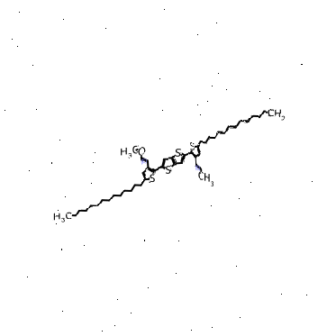 C/C=C/c1cc(CCCCCCCCCCCCCC)sc1-c1cc2sc(-c3sc(CCCCCCCCCCCCCC)cc3/C=C/OC)cc2s1